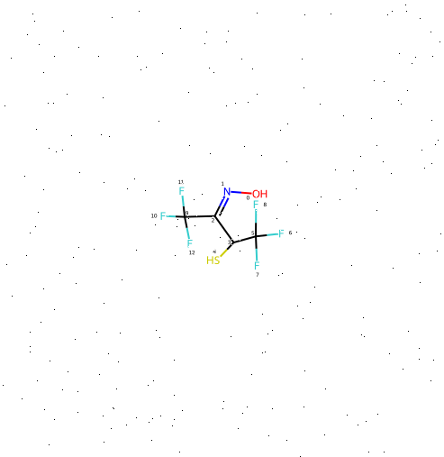 ON=C(C(S)C(F)(F)F)C(F)(F)F